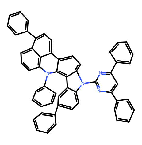 c1ccc(-c2ccc3c(c2)c2c4c(ccc2n3-c2nc(-c3ccccc3)cc(-c3ccccc3)n2)-c2ccc(-c3ccccc3)c3cccc(c23)N4c2ccccc2)cc1